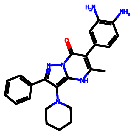 Cc1[nH]c2c(N3CCCCC3)c(-c3ccccc3)nn2c(=O)c1-c1ccc(N)c(N)c1